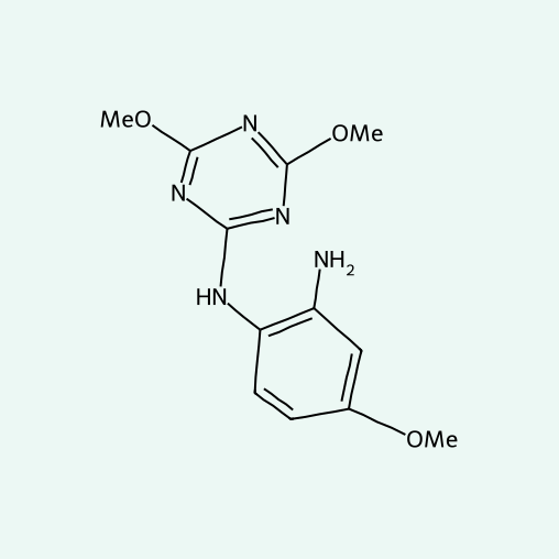 COc1ccc(Nc2nc(OC)nc(OC)n2)c(N)c1